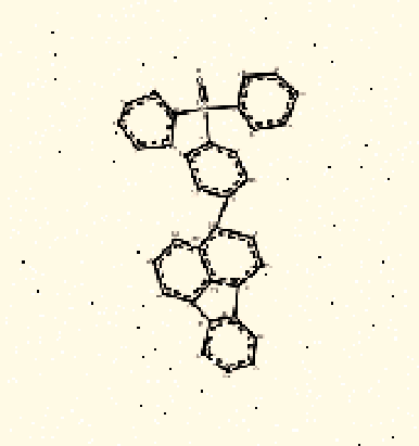 O=P(c1ccccc1)(c1ccccc1)c1ccc(-c2ccc3c4c(cccc24)-c2ccccc2-3)cc1